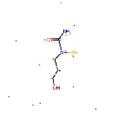 NC(=O)N(S)CCCO